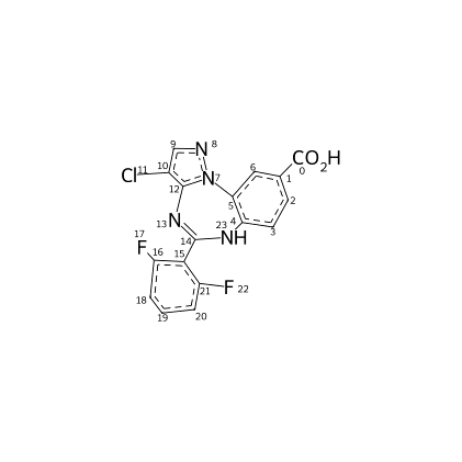 O=C(O)c1ccc2c(c1)-n1ncc(Cl)c1N=C(c1c(F)cccc1F)N2